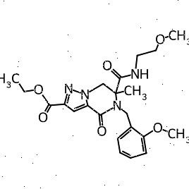 CCOC(=O)c1cc2n(n1)CC(C)(C(=O)NCCOC)N(Cc1ccccc1OC)C2=O